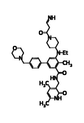 CCN(c1cc(-c2ccc(CN3CCOCC3)cc2)cc(C(=O)NCc2c(C)cc(C)[nH]c2=O)c1C)C1CCN(C(=O)CC=N)CC1